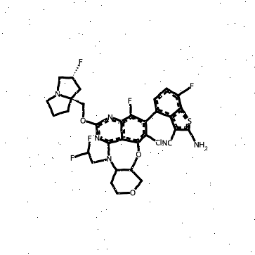 N#Cc1c(N)sc2c(F)ccc(-c3c(Cl)c4c5c(nc(OC[C@@]67CCCN6C[C@H](F)C7)nc5c3F)N(CC(F)F)C3CCOCC3O4)c12